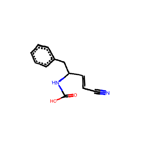 N#C/C=C/C(Cc1ccccc1)NC(=O)O